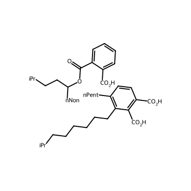 CCCCCCCCCC(CCC(C)C)OC(=O)c1ccccc1C(=O)O.CCCCCc1ccc(C(=O)O)c(C(=O)O)c1CCCCCCC(C)C